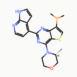 C[C@@H]1COCCN1c1nc(-c2ccnc3[nH]ccc23)nc2c(P(C)C)csc12